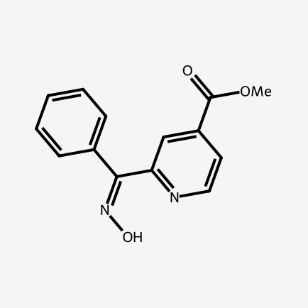 COC(=O)c1ccnc(/C(=N\O)c2ccccc2)c1